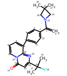 C=C(c1ccc(-c2cccn3c(=O)cc(C(C)(C)F)nc23)cc1)N1CC(C)(C)C1